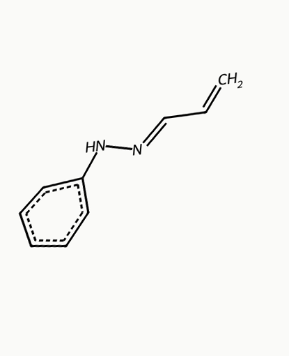 C=C/C=N/Nc1ccccc1